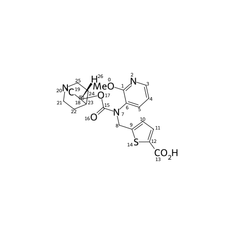 COc1ncccc1N(Cc1ccc(C(=O)O)s1)C(=O)O[C@H]1CN2CCC1CC2